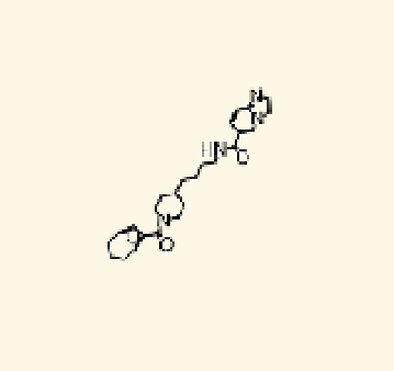 O=C(NCCCCC1CCN(C(=O)c2cc3oc2CCC3)CC1)c1ccc2nccn2c1